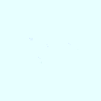 Cl.Clc1ccc(-c2cnc(C3CCCN3)[nH]2)cn1